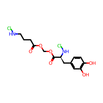 O=C(CCCNCl)OCOC(=O)[C@H](Cc1ccc(O)c(O)c1)NCl